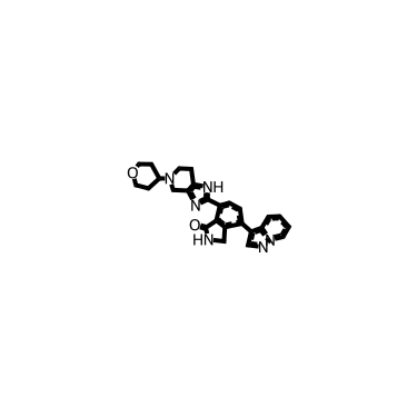 O=C1NCc2c(-c3cnn4ccccc34)ccc(-c3nc4c([nH]3)CCN(C3CCOCC3)C4)c21